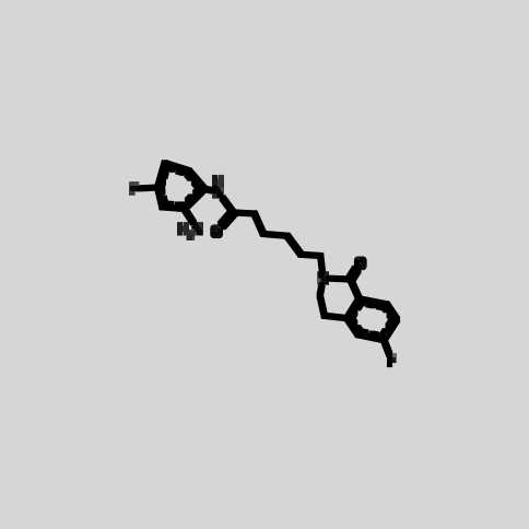 Nc1cc(F)ccc1NC(=O)CCCCCN1CCc2cc(F)ccc2C1=O